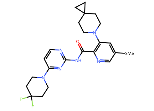 CSc1cnc(C(=O)Nc2nccc(N3CCC(F)(F)CC3)n2)c(N2CCC3(CC2)CC3)c1